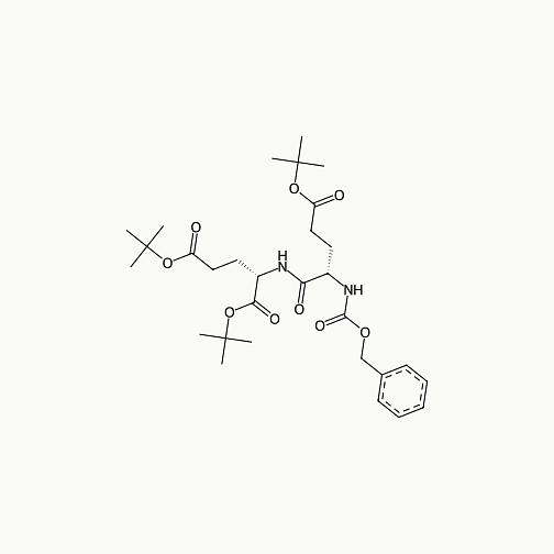 CC(C)(C)OC(=O)CC[C@H](NC(=O)OCc1ccccc1)C(=O)N[C@@H](CCC(=O)OC(C)(C)C)C(=O)OC(C)(C)C